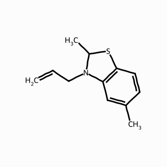 C=CCN1c2cc(C)ccc2SC1C